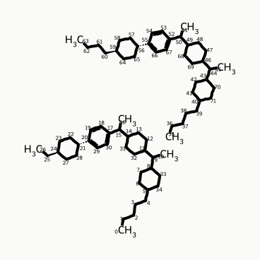 CCCCCC1CCC(C(C)C2CCC(C(C)c3ccc([C@H]4CC[C@H](CC)CC4)cc3)CC2)CC1.CCCCCC1CCC(C(C)C2CCC(C(C)c3ccc([C@H]4CC[C@H](CCCC)CC4)cc3)CC2)CC1